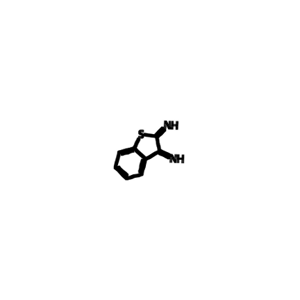 N=C1Sc2ccccc2C1=N